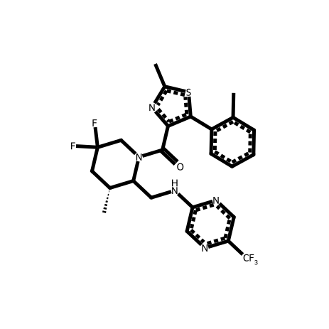 Cc1nc(C(=O)N2CC(F)(F)C[C@@H](C)C2CNc2cnc(C(F)(F)F)cn2)c(-c2ccccc2C)s1